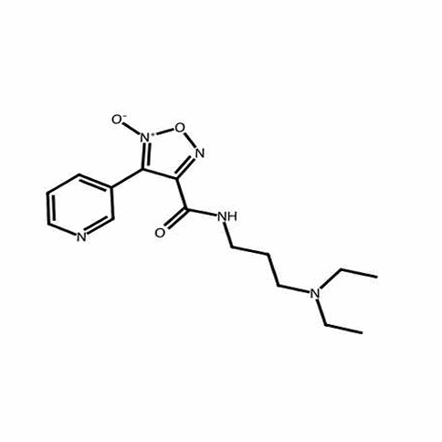 CCN(CC)CCCNC(=O)c1no[n+]([O-])c1-c1cccnc1